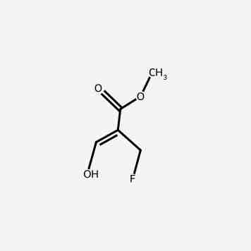 COC(=O)C(=CO)CF